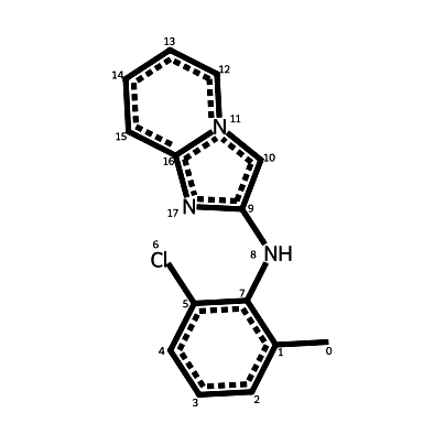 Cc1cccc(Cl)c1Nc1cn2ccccc2n1